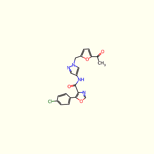 CC(=O)c1ccc(Cn2cc(NC(=O)c3ncoc3-c3ccc(Cl)cc3)cn2)o1